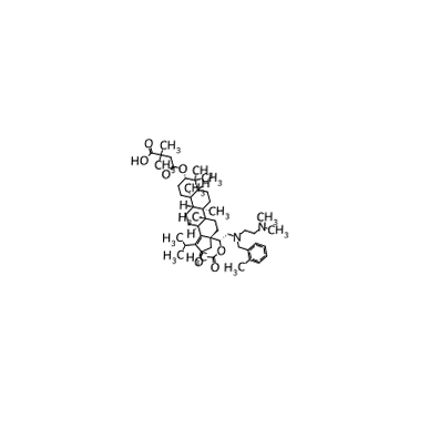 CC(=O)O[C@@H](CN(CCN(C)C)Cc1ccccc1C)[C@@]12CC[C@]3(C)[C@H](CC[C@@H]4[C@@]5(C)CC[C@H](OC(=O)CC(C)(C)C(=O)O)C(C)(C)[C@@H]5CC[C@]43C)C1=C(C(C)C)C(=O)C2